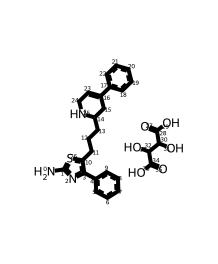 Nc1nc(-c2ccccc2)c(CCCC2CC(c3ccccc3)=CCN2)s1.O=C(O)C(O)C(O)C(=O)O